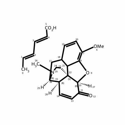 CC=CC=CC(=O)O.COC1=C2O[C@H]3C(=O)C=C[C@H]4[C@H]5CC(C=C1)C2[C@@]34CCN5C